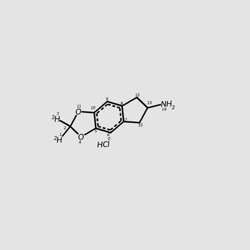 Cl.[2H]C1([2H])Oc2cc3c(cc2O1)CC(N)C3